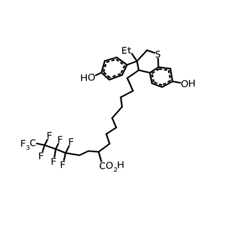 CCC1(c2ccc(O)cc2)CSc2cc(O)ccc2C1CCCCCCCCC(CCC(F)(F)C(F)(F)C(F)(F)C(F)(F)F)C(=O)O